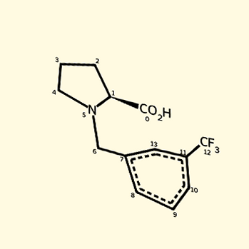 O=C(O)[C@@H]1CCCN1Cc1cccc(C(F)(F)F)c1